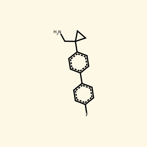 NCC1(c2ccc(-c3ccc(F)cc3)cc2)CC1